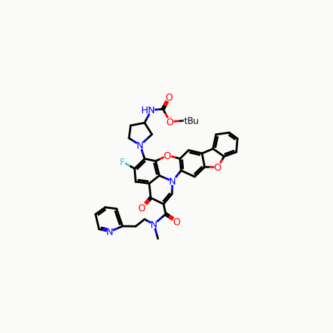 CN(CCc1ccccn1)C(=O)c1cn2c3c(c(N4CCC(NC(=O)OC(C)(C)C)C4)c(F)cc3c1=O)Oc1cc3c(cc1-2)oc1ccccc13